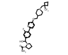 NC(=O)[C@@H]1CCCN1C(O)c1ccc(-c2ccc(OCC3CCN(CC4(C(F)(F)F)CCC4)CC3)cn2)c(F)c1